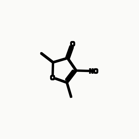 CC1=C(N=O)C(=O)C(C)O1